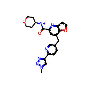 Cn1cc(-c2ccc(Cc3cc(C(=O)NC4CCOCC4)nc4ccoc34)cn2)nn1